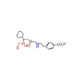 O=POC(C[C@H](O)CNCCc1ccc(C(=O)O)cc1)C1CCCCC1